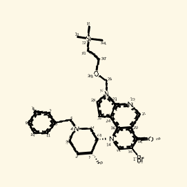 C[C@@H]1CCN(Cc2ccccc2)C[C@@H]1n1cc(Br)c(=O)c2cnc3c(ccn3COCC[Si](C)(C)C)c21